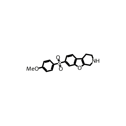 COc1ccc(S(=O)(=O)c2ccc3c4c(oc3c2)CNCC4)cc1